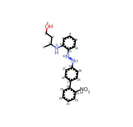 CC(CCO)Nc1ccccc1N=Nc1ccc(-c2ccccc2[N+](=O)[O-])cc1